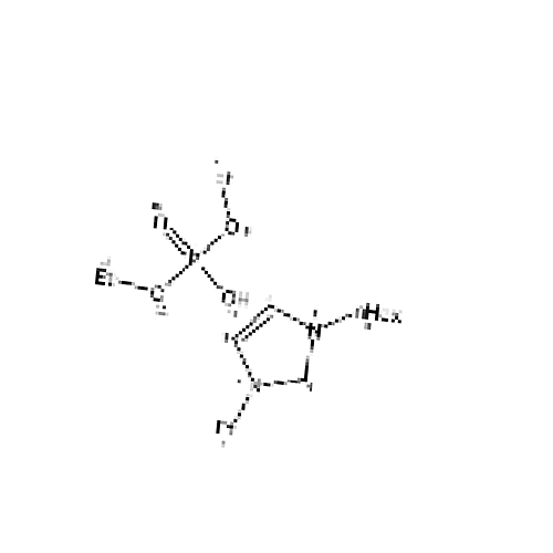 CCCCCCN1C=CN(CC)C1.CCOP(=O)(O)OCC